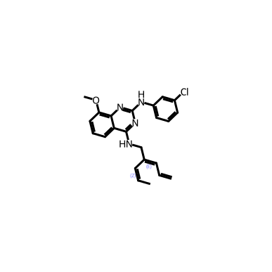 C=C/C=C(\C=C/C)CNc1nc(Nc2cccc(Cl)c2)nc2c(OC)cccc12